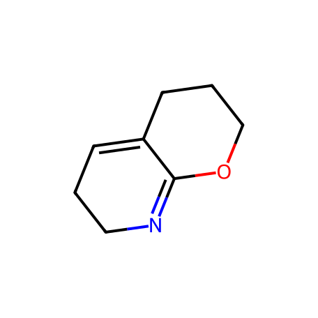 C1=C2CCCOC2=NCC1